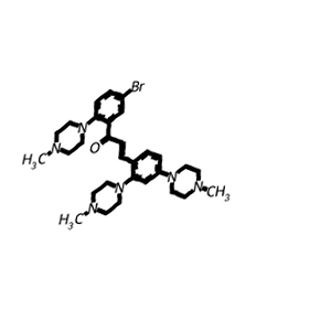 CN1CCN(c2ccc(/C=C/C(=O)c3cc(Br)ccc3N3CCN(C)CC3)c(N3CCN(C)CC3)c2)CC1